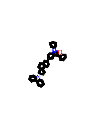 c1ccc(-n2c3ccc(-c4ccc5c(ccc6cc(-n7c8ccccc8c8ccccc87)ccc65)c4)cc3c3c4ccccc4oc32)cc1